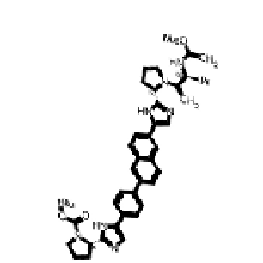 C=C(N[C@H](C(=C)N1CCC[C@H]1c1ncc(-c2ccc3cc(-c4ccc(-c5cnc([C@@H]6CCCN6C(=O)OC(C)(C)C)[nH]5)cc4)ccc3c2)[nH]1)C(C)C)OC